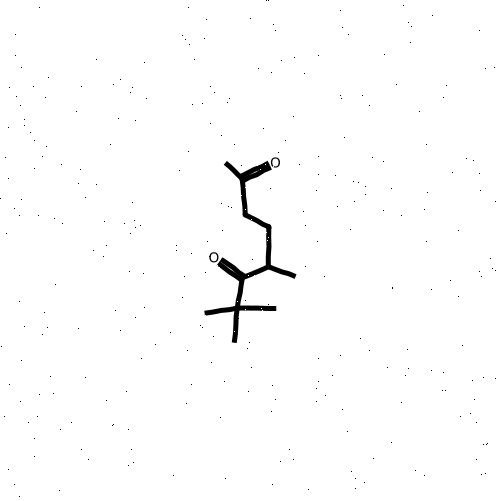 CC(=O)CCC(C)C(=O)C(C)(C)C